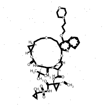 C=C[C@@H]1C[C@]1(NC(=O)[C@@H]1C[C@@H]2CN1C(=O)[C@H](C(C)(C)C)NC(=O)O[C@@H]1C[C@H]1CCCCCc1c(nc3ccccc3c1OCCCN1CCOCC1)O2)C(=O)NS(=O)(=O)C1(C)CC1